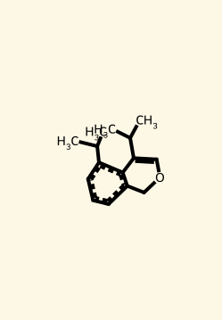 CC(C)C1=COCc2cccc(C(C)C)c21